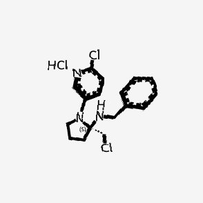 Cl.ClC[C@]1(NCc2ccccc2)CCCN1c1ccc(Cl)nc1